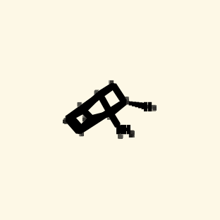 NC12C3C4=C5C3C1C5[C@H]42